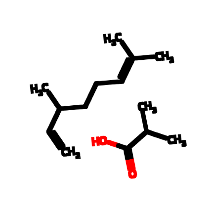 C=CC(C)CCC=C(C)C.CC(C)C(=O)O